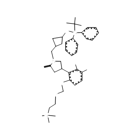 CC(C)(C)[Si](OC1CC(CN2CC(c3c(OCOCC[Si](C)(C)C)ccc(Cl)c3Cl)CC2=S)C1)(c1ccccc1)c1ccccc1